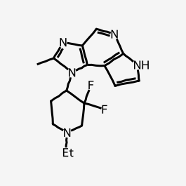 CCN1CCC(n2c(C)nc3cnc4[nH]ccc4c32)C(F)(F)C1